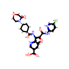 O=C(O)c1cnc2c(NC(=O)[C@H]3CC[C@H](N4CCOCC4=O)CC3)c(C(=O)Nc3ccc(Cl)cn3)oc2c1